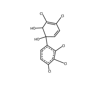 OC1C(Cl)=C(Cl)C=CC1(O)c1ccc(Cl)c(Cl)c1Cl